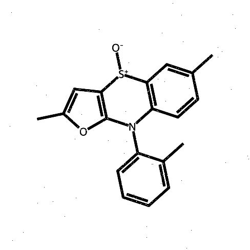 Cc1ccc2c(c1)[S+]([O-])c1cc(C)oc1N2c1ccccc1C